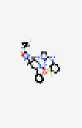 CC(C)N1CC[C@@H](N(C)[C@H]2CCCC(F)(F)[C@@H]2NC(=O)N2CCC(C)(c3noc([C@@H]4C[C@@H]4F)n3)CC2c2ccccc2)C1